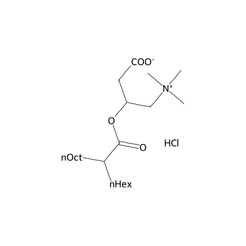 CCCCCCCCC(CCCCCC)C(=O)OC(CC(=O)[O-])C[N+](C)(C)C.Cl